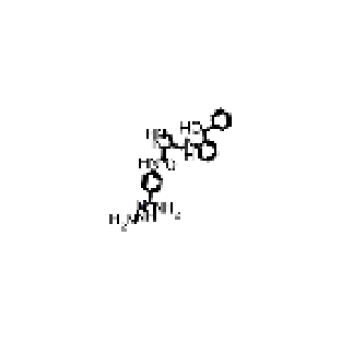 NN/N=C(\N)c1ccc(NC(=O)c2n[nH]cc2CNc2ccccc2C(O)c2ccccc2)cc1